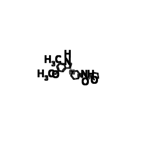 COc1cc(C)c2[nH]cc([C@H]3CCC[C@H](NC(=O)[C@@H]4CCCO4)C3)c2c1